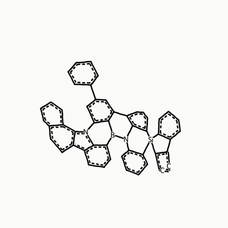 c1ccc(-c2cc3c4c(c2)-n2c5c(cccc5c5ccc6ccccc6c52)B4N2c4ccccc4[Si]4(c5ccccc5-c5ccccc54)c4cccc-3c42)cc1